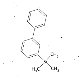 C[Si](C)(C)c1cccc(-c2cc[c]cc2)c1